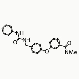 CNC(=O)c1cc(Oc2ccc(CNC(=O)Nc3ccccc3)cc2)ccn1